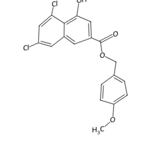 COc1ccc(COC(=O)c2cc(O)c3c(Cl)cc(Cl)cc3c2)cc1